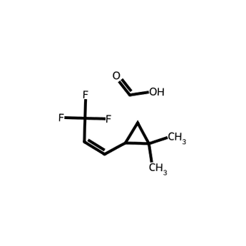 CC1(C)CC1/C=C\C(F)(F)F.O=CO